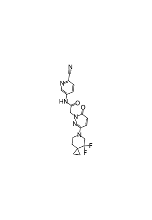 N#Cc1ccc(NC(=O)Cn2nc(N3CCC4(CC4)C(F)(F)C3)ccc2=O)cn1